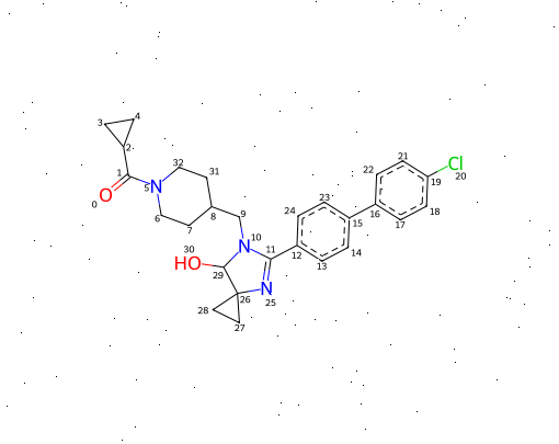 O=C(C1CC1)N1CCC(CN2C(c3ccc(-c4ccc(Cl)cc4)cc3)=NC3(CC3)C2O)CC1